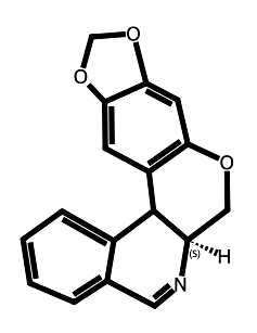 C1=N[C@@H]2COc3cc4c(cc3C2c2ccccc21)OCO4